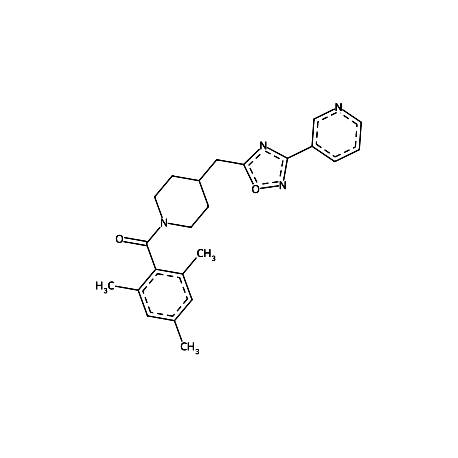 Cc1cc(C)c(C(=O)N2CCC(Cc3nc(-c4cccnc4)no3)CC2)c(C)c1